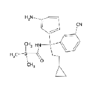 CS(C)(C)C(=O)NC(CCC1CC1)(c1cccc(N)c1)c1cccc(C#N)c1